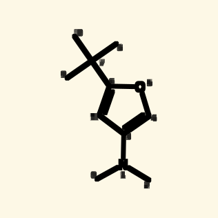 CN(C)c1coc(C(C)(C)C)c1